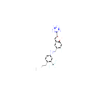 CCCc1ccc(NCc2cc3cc(-c4nnn[nH]4)oc3cc2F)cc1C(F)(F)F